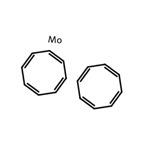 C1=CC=CC=CC=C1.C1=CC=CC=CC=C1.[Mo]